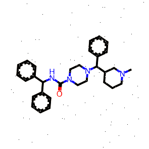 CN1CCCC(C(c2ccccc2)N2CCN(C(=O)NC(c3ccccc3)c3ccccc3)CC2)C1